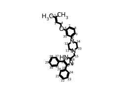 CC(C)=CCOc1cccc(N2CCN(Cc3nc(-c4ccccc4)c(-c4ccccc4)[nH]3)CC2)c1